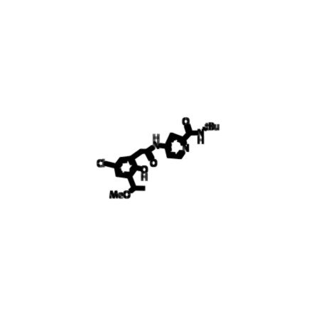 COC(C)c1cc(Cl)cc(CC(=O)Nc2ccnc(C(=O)NC(C)(C)C)c2)c1O